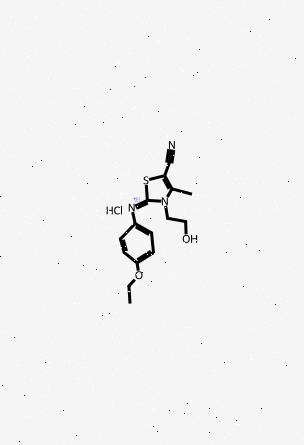 CCOc1ccc(/N=c2/sc(C#N)c(C)n2CCO)cc1.Cl